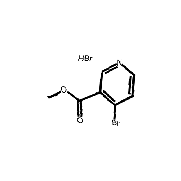 Br.COC(=O)c1cnccc1Br